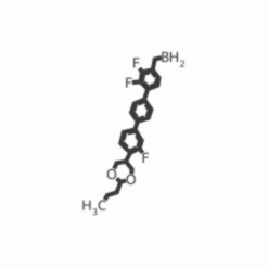 BCc1ccc(-c2ccc(-c3ccc(C4COC(CCC)OC4)c(F)c3)cc2)c(F)c1F